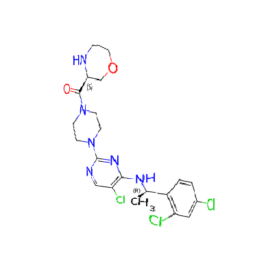 C[C@@H](Nc1nc(N2CCN(C(=O)[C@@H]3COCCN3)CC2)ncc1Cl)c1ccc(Cl)cc1Cl